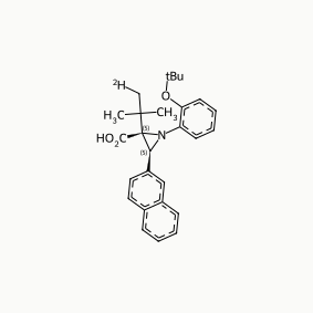 [2H]CC(C)(C)[C@@]1(C(=O)O)[C@H](c2ccc3ccccc3c2)N1c1ccccc1OC(C)(C)C